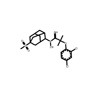 CC(C)(Oc1ccc(Cl)cc1Cl)C(=N)N(C#N)C1C2CC3CC1CC(S(C)(=O)=O)(C3)C2